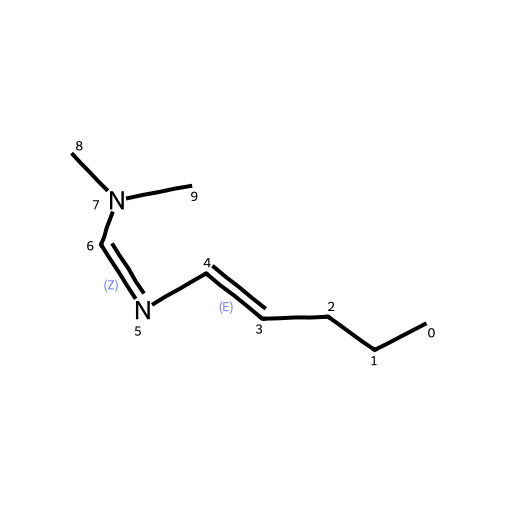 CCC/C=C/N=C\N(C)C